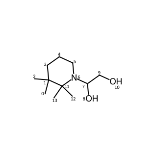 CC1(C)CCCN(C(O)CO)C1(C)C